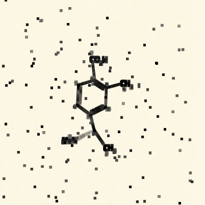 CN[C@@H](C)c1ccc(C(=O)O)c(C)c1